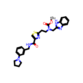 CC(C)(C)OC(=O)N(CCc1nc(C(=O)NCc2cccc(N3CCCC3)c2)cs1)Cc1nc2ccccc2[nH]1